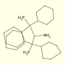 NC(C(P)(C1CCCCC1)C1CCCCC1)C(P)(C1CCCCC1)C1CCCCC1